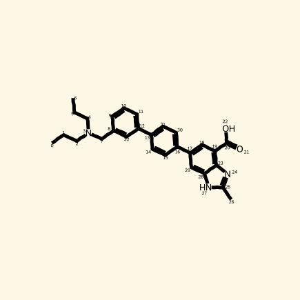 CCCN(CCC)Cc1cccc(-c2ccc(-c3cc(C(=O)O)c4nc(C)[nH]c4c3)cc2)c1